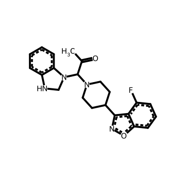 CC(=O)C(N1CCC(c2noc3cccc(F)c23)CC1)N1CNc2ccccc21